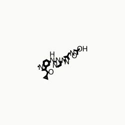 Cn1cc(C(=O)C2CC2)c2cc(Nc3nccc(-n4cc(CN5CC(O)CO5)cn4)n3)ccc21